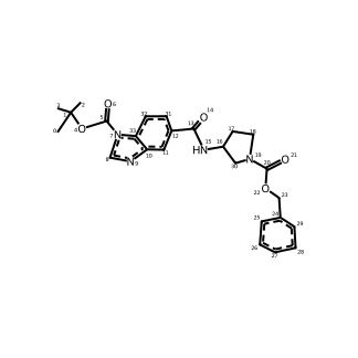 CC(C)(C)OC(=O)n1cnc2cc(C(=O)NC3CCN(C(=O)OCc4ccccc4)C3)ccc21